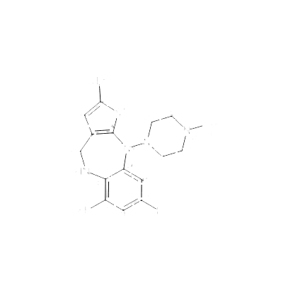 CCc1cc2c(s1)N(N1CCN(C)CC1)c1cc(F)cc(F)c1NC2